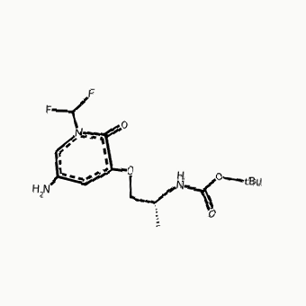 C[C@H](COc1cc(N)cn(C(F)F)c1=O)NC(=O)OC(C)(C)C